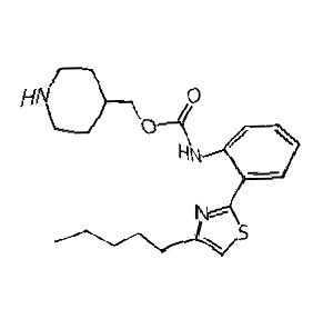 CCCCCc1csc(-c2ccccc2NC(=O)OCC2CCNCC2)n1